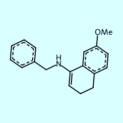 COc1ccc2c(c1)C(NCc1ccccc1)=CCC2